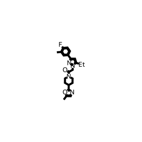 CCc1cc(-c2ccc(F)c(C)c2)nn1CC(=O)N1CCC(c2ncc(C)o2)CC1